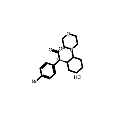 Cl.O=C(O)[C@H](c1ccc(Br)cc1)C1CCCCC1N1CCOCC1